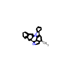 Cc1cc2c3ccccc3n3c4cc5ccccc5cc4c4nccc1c4c23